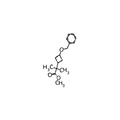 COC(=O)C(C)(C)C1CC(OCc2ccccc2)C1